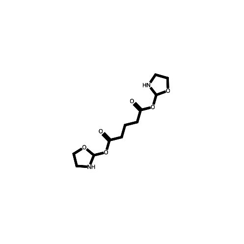 O=C(CCCC(=O)OC1NCCO1)OC1NCCO1